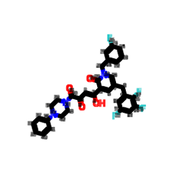 O=C(/C=C(\O)c1cc(Cc2cc(F)cc(F)c2F)cn(Cc2cccc(F)c2)c1=O)C(=O)N1CCN(c2ccccc2)CC1